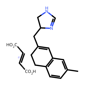 Cc1ccc2c(c1)C=C(CC1CNC=N1)CC2.O=C(O)/C=C/C(=O)O